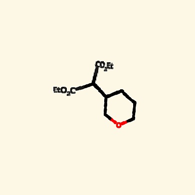 CCOC(=O)C(C(=O)OCC)C1CCCOC1